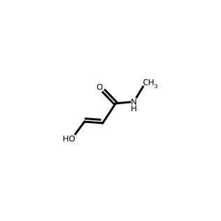 CNC(=O)C=CO